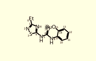 CCc1nsc(NC(=O)Nc2ccccc2OCC(C)C)n1